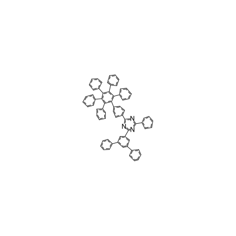 c1ccc(-c2cc(-c3ccccc3)cc(-c3nc(-c4ccccc4)nc(-c4ccc(-c5c(-c6ccccc6)c(-c6ccccc6)c(-c6ccccc6)c(-c6ccccc6)c5-c5ccccc5)cc4)n3)c2)cc1